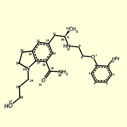 CCCc1ccccc1OCCN[C@H](C)Cc1cc2c(c(C(N)=O)c1)N(CCCO)CC2